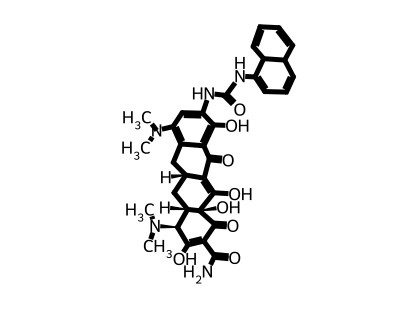 CN(C)c1cc(NC(=O)NC2=CC=CC3C=CC=CC23)c(O)c2c1C[C@H]1C[C@H]3[C@H](N(C)C)C(O)=C(C(N)=O)C(=O)[C@@]3(O)C(O)=C1C2=O